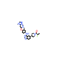 C=N/C(=C\c1nncn1C)Oc1ccc(Nc2ncnc3ccc(C4=CCN(C(=O)C(=C)F)CC4)cc23)cc1C